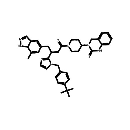 CC1=CC(CC(CC(=O)N2CCC(N3Cc4ccccc4NC3=O)CC2)c2nccn2Cc2ccc(C(C)(C)C)cc2)=CC2C=NNC12